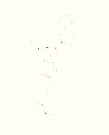 C=C(C)C(=O)OCCC(=O)OC1CC(C(=O)OC2(C(C)(C)C)CCCC2)C2CC1OC2=O